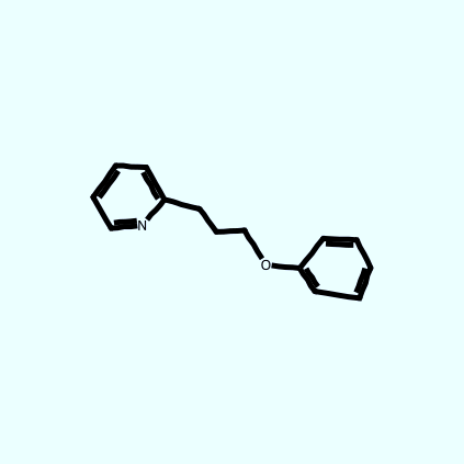 c1ccc(OCCCc2ccccn2)cc1